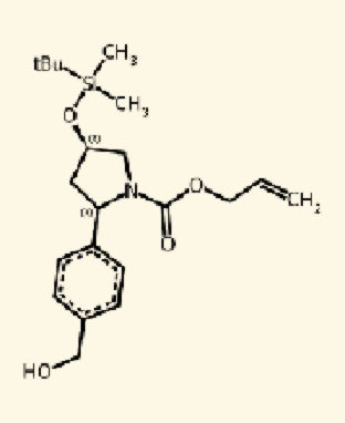 C=CCOC(=O)N1C[C@H](O[Si](C)(C)C(C)(C)C)C[C@@H]1c1ccc(CO)cc1